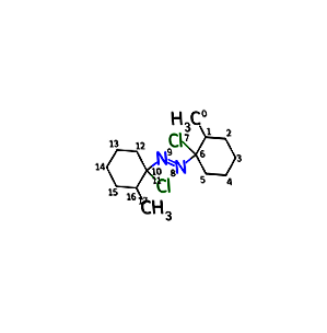 CC1CCCCC1(Cl)N=NC1(Cl)CCCCC1C